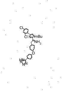 CCCCn1cc(-c2ccc(Cl)cc2Cl)nc1[C@@H](N)Cc1ccc(Oc2ccc(-c3nnn[nH]3)cc2)cc1